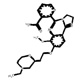 CCN1CCOC(CCOc2ccc3c(c2OC)N=C(c2ncccc2C(N)=O)N2CCN=C32)C1